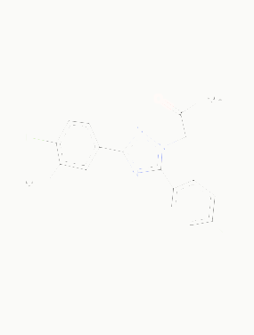 COC(=O)Cn1nc(-c2ccc(F)c(OC)c2)nc1-c1ccc(F)cc1